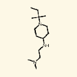 CCC(C)(C)N1CCC(NCCN(C)C)CC1